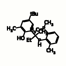 CCC(C)(Pc1c(C)cccc1P(C)C)c1cc(C(C)(C)C)cc(C)c1O